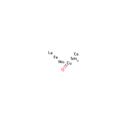 [Ce].[Fe].[La].[Mn].[O]=[Cu].[SrH2]